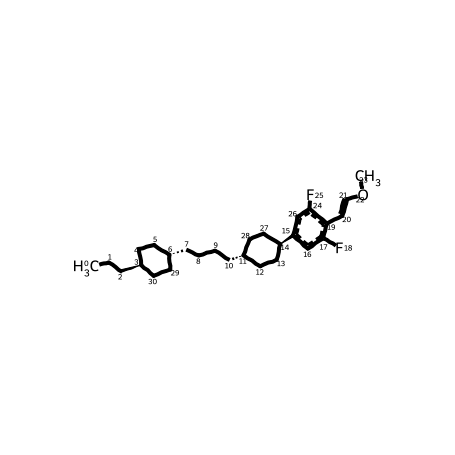 CCC[C@H]1CC[C@H](CCCC[C@H]2CC[C@H](c3cc(F)c(C=COC)c(F)c3)CC2)CC1